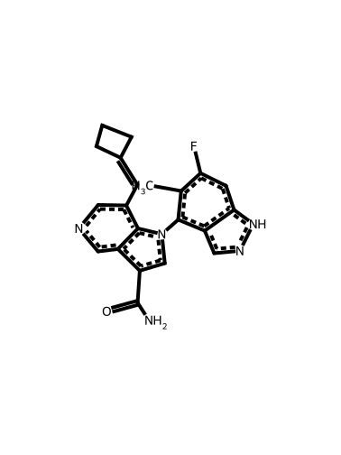 Cc1c(F)cc2[nH]ncc2c1-n1cc(C(N)=O)c2cncc(C=C3CCC3)c21